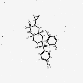 O=S1(=O)N[C@H]2CC[C@@](c3cc(F)ccc3F)(S(=O)(=O)c3ccc(C(F)(F)F)nc3)C[C@H]2CN1C1CC1